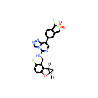 O=S1(=O)C=c2cc(-c3cnc(NCc4c(F)ccc5c4[C@H]4C[C@H]4O5)n4cnnc34)ccc2=C1F